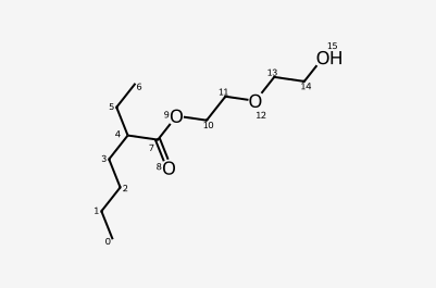 CCCCC(CC)C(=O)OCCOCCO